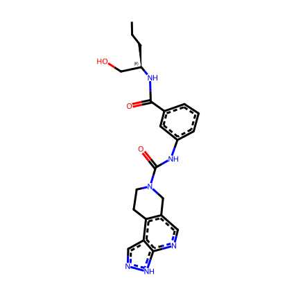 CCC[C@H](CO)NC(=O)c1cccc(NC(=O)N2CCc3c(cnc4[nH]ncc34)C2)c1